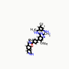 COc1cc2nc(C)nc(N[C@H](C)c3cc(N)cc(C(F)(F)F)c3)c2cc1C1CCC(C(=O)N(C)CC2CCC3(CCNCC3)CC2)CC1